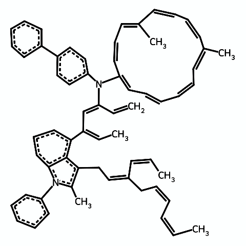 C=C/C(=C\C(=C/C)c1cccc2c1c(C/C=C(\C=C/C)C/C=C\C=C/C)c(C)n2-c1ccccc1)N(C1=C/C=C/C=C/C=C(C)/C=C\C=C/C(C)=C/C=C\1)c1ccc(-c2ccccc2)cc1